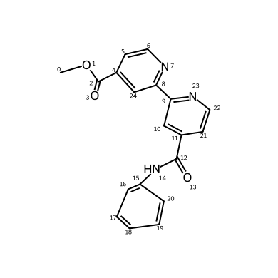 COC(=O)c1ccnc(-c2cc(C(=O)Nc3ccccc3)ccn2)c1